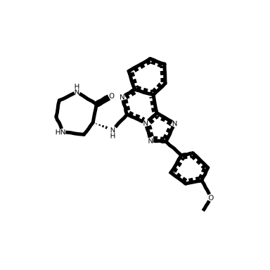 COc1ccc(-c2nc3c4ccccc4nc(N[C@@H]4CNCCNC4=O)n3n2)cc1